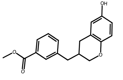 COC(=O)c1cccc(CC2COc3ccc(O)cc3C2)c1